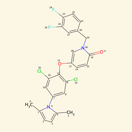 Cc1ccc(C)n1-c1cc(Cl)c(Oc2ccc(=O)n(Cc3ccc(F)c(F)c3)c2)c(Cl)c1